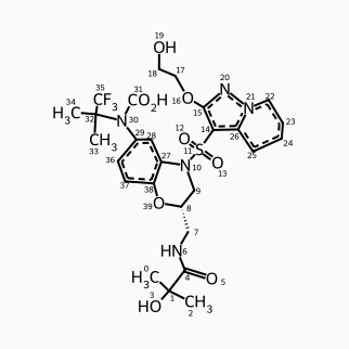 CC(C)(O)C(=O)NC[C@H]1CN(S(=O)(=O)c2c(OCCO)nn3ccccc23)c2cc(N(C(=O)O)C(C)(C)C(F)(F)F)ccc2O1